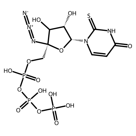 [N-]=[N+]=N[C@]1(COP(=O)(O)OP(=O)(O)OP(=O)(O)O)O[C@@H](n2ccc(=O)[nH]c2=S)[C@@H](O)C1O